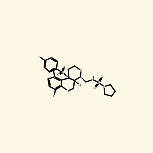 O=S(=O)(NC[C@@H]1OCC[C@@]2(S(=O)(=O)c3ccc(Cl)cc3)c3c(F)ccc(F)c3OC[C@@H]12)N1CCCC1